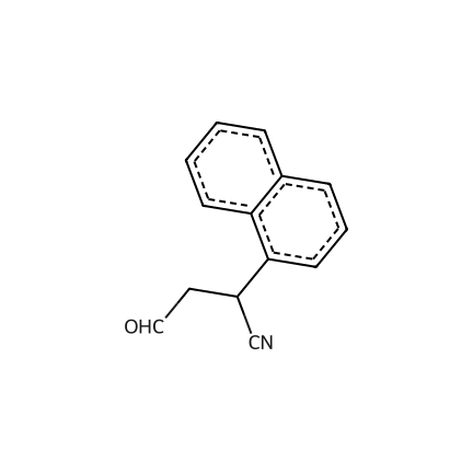 N#CC(CC=O)c1cccc2ccccc12